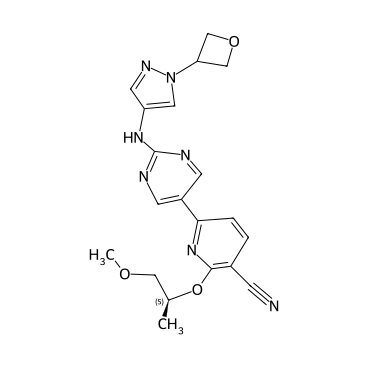 COC[C@H](C)Oc1nc(-c2cnc(Nc3cnn(C4COC4)c3)nc2)ccc1C#N